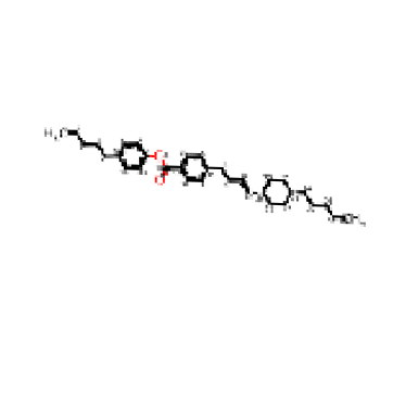 CCCCCc1ccc(OC(=O)c2ccc(CCC=C[C@H]3CC[C@H](CCCCC)CC3)cc2)cc1